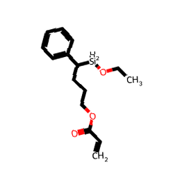 C=CC(=O)OCCCC([SiH2]OCC)c1ccccc1